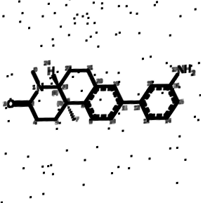 CN1C(=O)CC[C@]2(C)c3ccc(-c4cccc(N)c4)cc3CC[C@@H]12